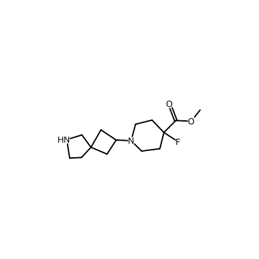 COC(=O)C1(F)CCN(C2CC3(CCNC3)C2)CC1